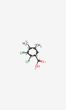 Cc1cc(C(=O)O)c(Cl)c(Cl)c1C